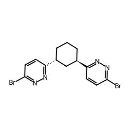 Brc1ccc([C@@H]2CCC[C@@H](c3ccc(Br)nn3)C2)nn1